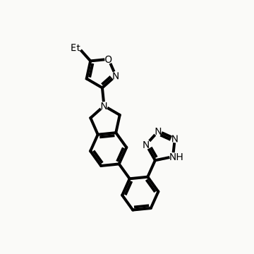 CCc1cc(N2Cc3ccc(-c4ccccc4-c4nnn[nH]4)cc3C2)no1